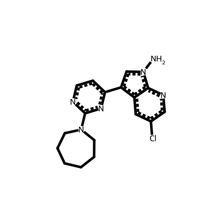 Nn1cc(-c2ccnc(N3CCCCCC3)n2)c2cc(Cl)cnc21